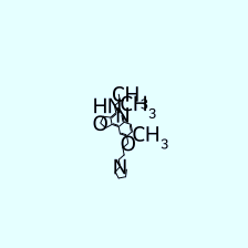 Cc1cc2nc(NC(C)C)c3c(c2cc1OCCCN1CCCC1)COC3